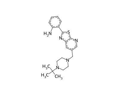 CC(C)(C)N1CCN(Cc2cnc3sc(-c4ccccc4N)nc3c2)CC1